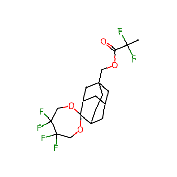 CC(F)(F)C(=O)OCC12CC3CC(C1)C1(OCC(F)(F)C(F)(F)CO1)C(C3)C2